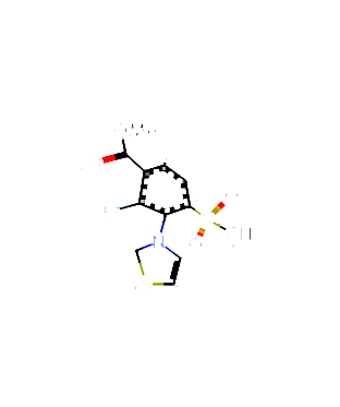 COC(=O)c1ccc(S(C)(=O)=O)c(N2C=CSC2)c1Cl